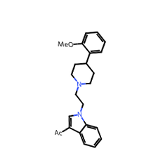 COc1ccccc1C1CCN(CCn2cc(C(C)=O)c3ccccc32)CC1